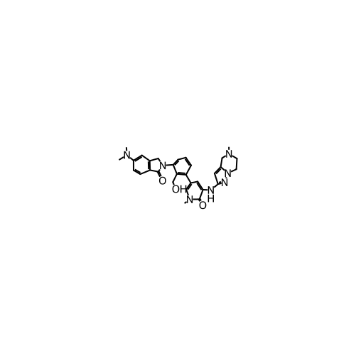 CN1CCn2nc(Nc3cc(-c4cccc(N5Cc6cc(N(C)C)ccc6C5=O)c4CO)cn(C)c3=O)cc2C1